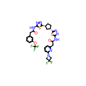 O=C(Cc1cccc(OC(F)(F)F)c1)Nc1nnc([C@H]2CC[C@H](c3nnc(NC(=O)Cc4cccc(N5CC(F)(F)C5)n4)s3)C2)s1